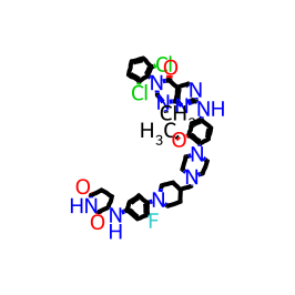 COc1cc(Nc2ncc3c(n2)N(C)CN(c2c(Cl)cccc2Cl)C3=O)ccc1N1CCN(CC2CCN(c3ccc(NC4CCC(=O)NC4=O)cc3F)CC2)CC1